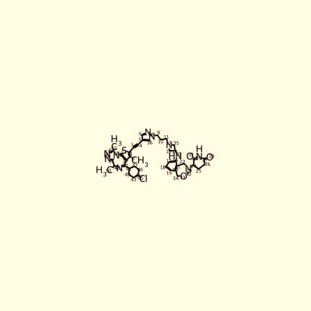 Cc1c(C#Cc2cnn(CCCN3CC(Nc4cccc5c4CN(C4CCC(=O)NC4=O)COC5)C3)c2)sc2c1C(C1CCC(Cl)CC1)=N[C@@H](C)c1nnc(C)n1-2